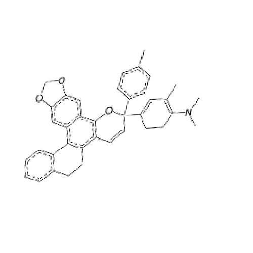 CC1=C(N(C)C)CCC(C2(c3ccc(C)cc3)C=Cc3c4c(c5cc6c(cc5c3O2)OCO6)-c2ccccc2CC4)=C1